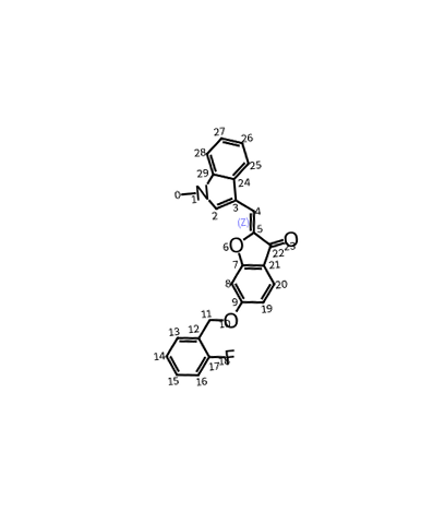 Cn1cc(/C=C2\Oc3cc(OCc4ccccc4F)ccc3C2=O)c2ccccc21